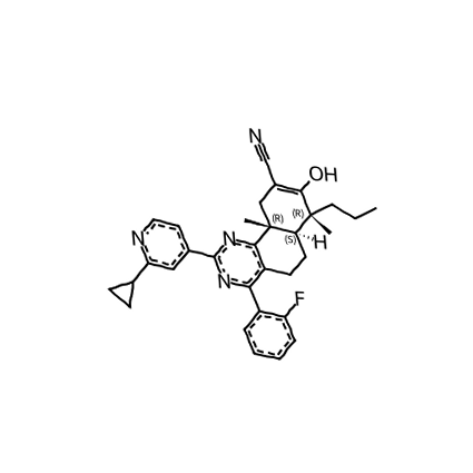 CCC[C@@]1(C)C(O)=C(C#N)C[C@@]2(C)c3nc(-c4ccnc(C5CC5)c4)nc(-c4ccccc4F)c3CC[C@H]12